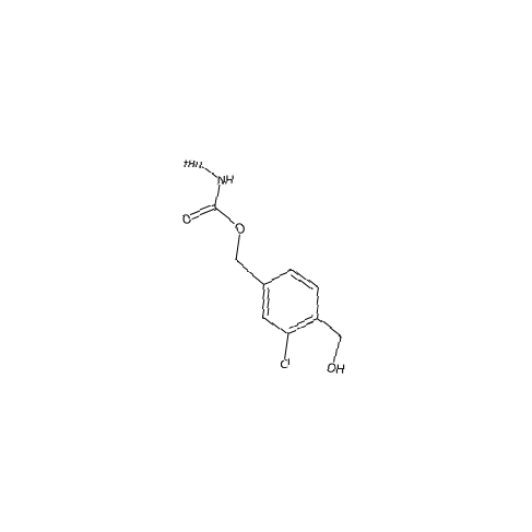 CC(C)(C)NC(=O)OCc1ccc(CO)c(Cl)c1